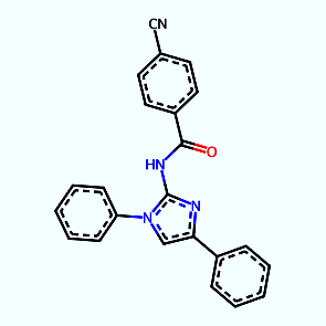 N#Cc1ccc(C(=O)Nc2nc(-c3ccccc3)cn2-c2ccccc2)cc1